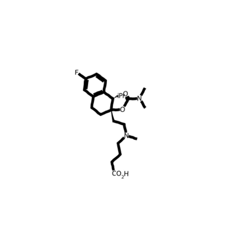 CC(C)[C@H]1c2ccc(F)cc2CC[C@@]1(CCN(C)CCCC(=O)O)OC(=O)N(C)C